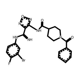 N=C(Nc1ccc(F)c(Br)c1)c1nonc1NC(=O)C1CCN(C(=O)c2ccccc2)CC1